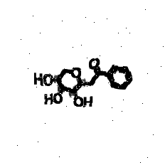 O=C(C[C@@H]1OC[C@@H](O)[C@H](O)[C@H]1O)c1ccccc1